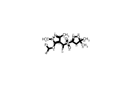 Cc1nn(C)c(OC(F)F)c1C(F)S(=O)(=O)C1=NOC(C)(C)C1